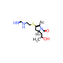 CC(=O)C1=C(SCCNC=N)C[C@@H]2[C@@H]([C@@H](C)O)C(=O)N12